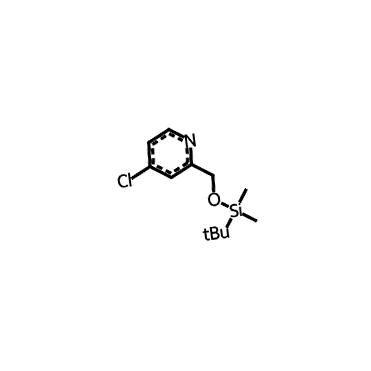 CC(C)(C)[Si](C)(C)OCc1cc(Cl)ccn1